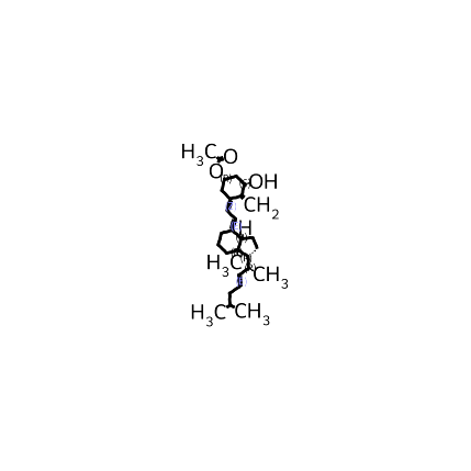 C=C1/C(=C\C=C2/CCC[C@]3(C)[C@@H]([C@H](C)/C=C/CC(C)C)CC[C@@H]23)C[C@@H](OC(C)=O)C[C@@H]1O